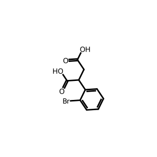 O=C(O)CC(C(=O)O)c1ccccc1Br